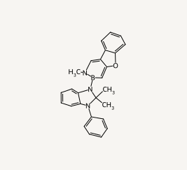 CN1C=c2c(oc3ccccc23)=CB1N1c2ccccc2N(c2ccccc2)C1(C)C